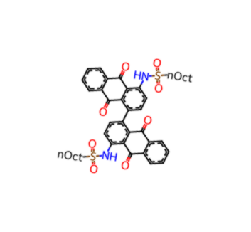 CCCCCCCCS(=O)(=O)Nc1ccc(-c2ccc(NS(=O)(=O)CCCCCCCC)c3c2C(=O)c2ccccc2C3=O)c2c1C(=O)c1ccccc1C2=O